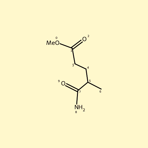 COC(=O)[CH]CC(C)C(N)=O